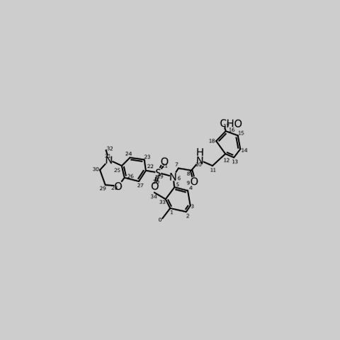 Cc1cccc(N(CC(=O)NCc2cccc(C=O)c2)S(=O)(=O)c2ccc3c(c2)OCCN3C)c1C